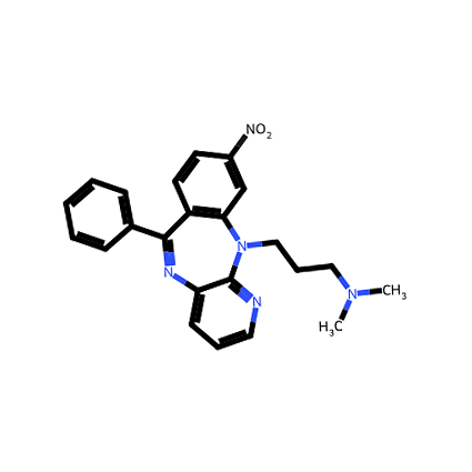 CN(C)CCCN1c2cc([N+](=O)[O-])ccc2C(c2ccccc2)=Nc2cccnc21